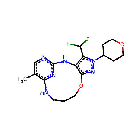 FC(F)c1c2c(nn1C1CCOCC1)OCCCNc1nc(ncc1C(F)(F)F)N2